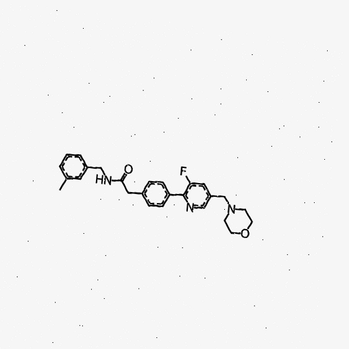 Cc1cccc(CNC(=O)Cc2ccc(-c3ncc(CN4CCOCC4)cc3F)cc2)c1